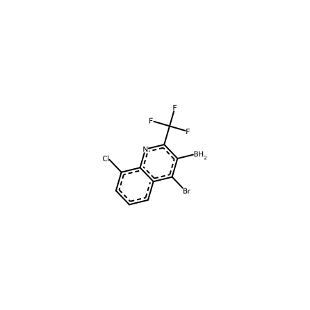 Bc1c(C(F)(F)F)nc2c(Cl)cccc2c1Br